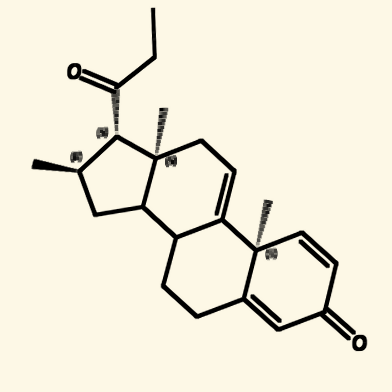 CCC(=O)[C@H]1[C@H](C)CC2C3CCC4=CC(=O)C=C[C@]4(C)C3=CC[C@@]21C